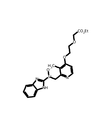 CCOC(=O)COCCOc1ccnc(C[S+]([O-])c2nc3ccccc3[nH]2)c1C